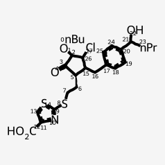 CCCCOC1C(=O)[C@H](CCSc2nc(C(=O)O)cs2)C(Cc2ccc(C(O)CCC)cc2)C1Cl